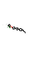 C=CCCCC1CCC(C2C=CC(C3CCC(COc4ccc(C)c(F)c4F)CC3)CC2)CC1